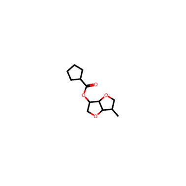 CC1COC2C(OC(=O)C3CCCC3)COC12